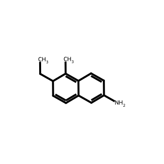 CCC1C=C=c2cc(N)ccc2=C1C